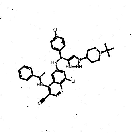 C[C@@H](Nc1c(C#N)cnc2c(Cl)cc(N[C@H](C3=CN(C4CCN(C(C)(C)C)CC4)NN3)c3ccc(Cl)cc3)cc12)c1ccccc1